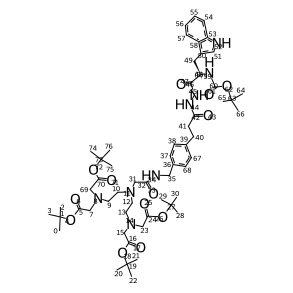 CC(C)(C)OC(=O)CN(CCN(CCN(CC(=O)OC(C)(C)C)CC(=O)OC(C)(C)C)CC(=O)NCc1ccc(CCC(=O)NNC(=O)[C@@H](Cc2c[nH]c3ccccc23)NC(=O)OC(C)(C)C)cc1)CC(=O)OC(C)(C)C